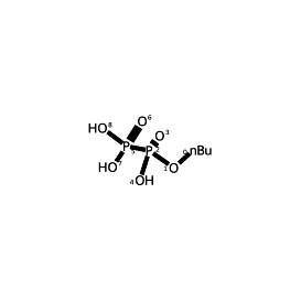 CCCCOP(=O)(O)P(=O)(O)O